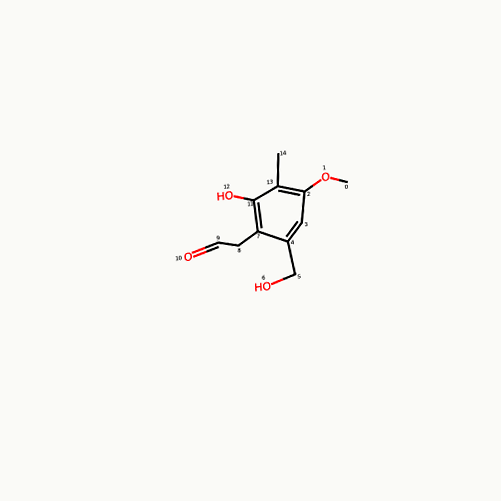 COc1cc(CO)c(CC=O)c(O)c1C